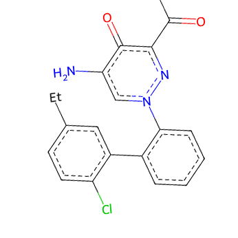 CCc1ccc(Cl)c(-c2ccccc2-n2cc(N)c(=O)c(C(=O)NC)n2)c1